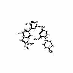 COc1cc(Nc2ncc(F)c(-c3cc(F)c4nc(C)n(C(C)C)c4c3)n2)ccc1N1CCN(C)CC1